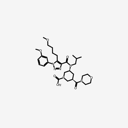 COCCCCc1c(C(=O)N(CC(C)C)[C@H]2C[C@@H](C(=O)N3CCOCC3)CN(C(=O)O)C2)nnn1-c1cccc(OC)c1